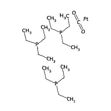 CCP(CC)CC.CCP(CC)CC.CCP(CC)CC.O=C=O.[Pt]